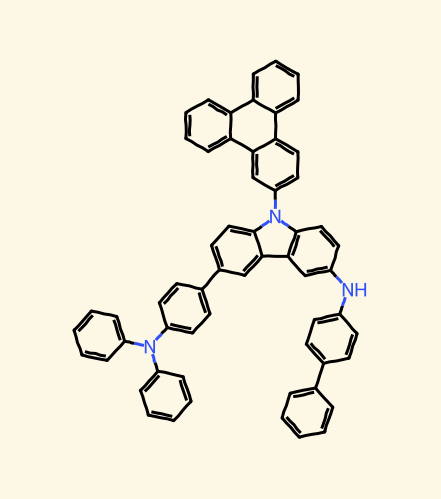 c1ccc(-c2ccc(Nc3ccc4c(c3)c3cc(-c5ccc(N(c6ccccc6)c6ccccc6)cc5)ccc3n4-c3ccc4c5ccccc5c5ccccc5c4c3)cc2)cc1